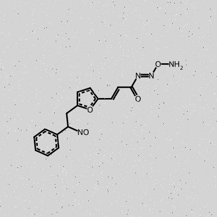 NON=NC(=O)/C=C/c1ccc(CC(N=O)c2ccccc2)o1